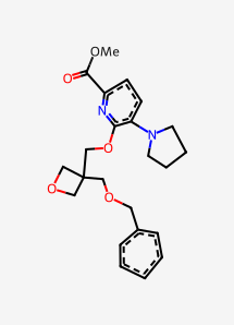 COC(=O)c1ccc(N2CCCC2)c(OCC2(COCc3ccccc3)COC2)n1